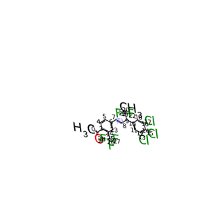 CC(=O)c1ccc(/C=C/C(c2cc(Cl)c(Cl)c(Cl)c2)C(C)(F)F)cc1C(F)(F)F